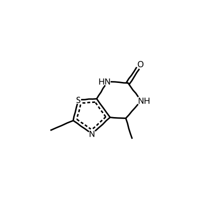 Cc1nc2c(s1)NC(=O)NC2C